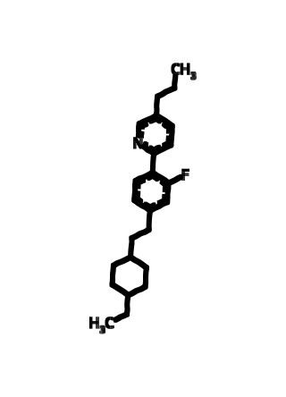 CCCc1ccc(-c2ccc(CCC3CCC(CC)CC3)cc2F)nc1